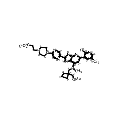 CCOC(=O)CCN1CCN(c2cnc(-c3nc4nc(-c5cc(C(F)(F)F)cnc5F)cc(N(C)CC5(COC)CCC5)c4[nH]3)cn2)CC1